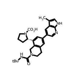 Cc1c[nH]c2ncc(-c3cc4c(c([C@@H]5CCCN5C(=O)O)c3)CN(C(=O)NC(C)(C)C)CC4)cc12